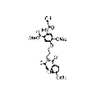 C#CC(=O)Nc1cc(OC)c(OCCCN(C(=O)C#C)C(=O)c2ccc(OC)cc2)cc1C(=O)OC